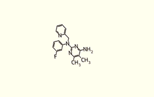 Cc1nc(N(Cc2ccccn2)c2cccc(F)c2)nc(N)c1C